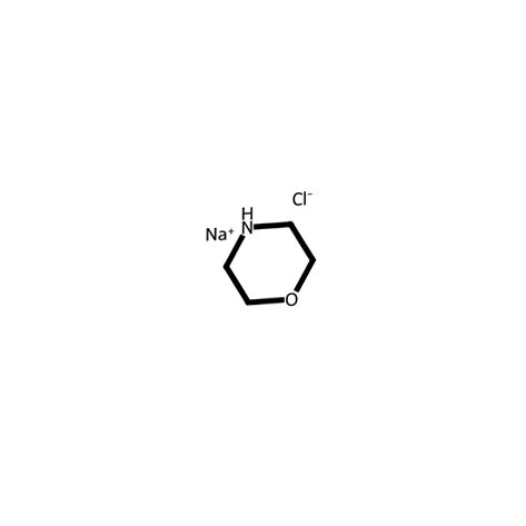 C1COCCN1.[Cl-].[Na+]